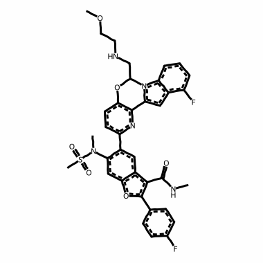 CNC(=O)c1c(-c2ccc(F)cc2)oc2cc(N(C)S(C)(=O)=O)c(-c3ccc4c(n3)-c3cc5c(F)cccc5n3C(CNCCOC)O4)cc12